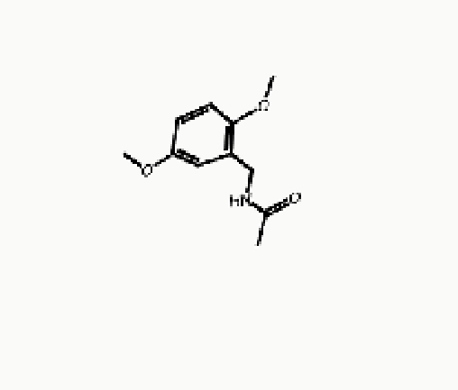 COc1ccc(OC)c(CNC(C)=O)c1